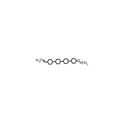 C/C=C/C1CCC(C2CCC(C3CCC(C4CCC(OCC)CC4)CC3)CC2)CC1